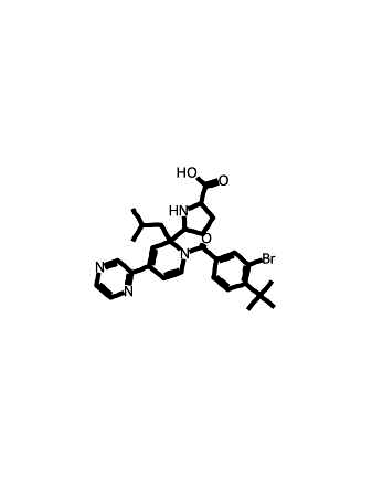 CC(C)CC1(C2CCC(C(=O)O)N2)C=C(c2cnccn2)C=CN1C(=O)c1ccc(C(C)(C)C)c(Br)c1